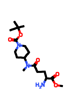 COC(=O)C(N)CCC(=O)N(C)C1CCN(C(=O)OC(C)(C)C)CC1